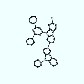 Cc1ccc2c3ccc(-c4ccc5c(c4)c4ccccc4n5-c4ccccc4)cc3n(-c3nc(-c4ccccc4)nc(-c4ccccc4)n3)c2c1